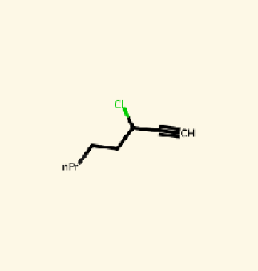 C#CC(Cl)CCCCC